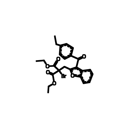 CCOC(=O)C(Br)(Cc1oc2ccccc2c1C(=O)c1ccc(CC)cc1)C(=O)OCC